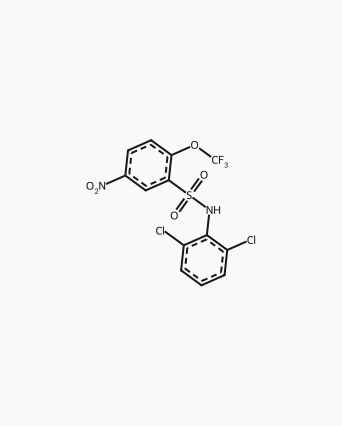 O=[N+]([O-])c1ccc(OC(F)(F)F)c(S(=O)(=O)Nc2c(Cl)cccc2Cl)c1